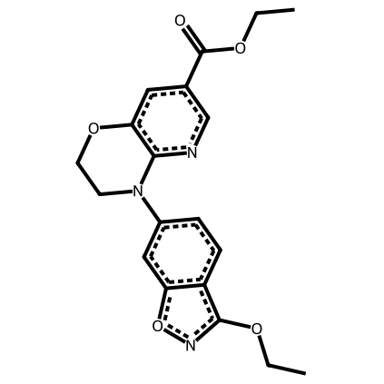 CCOC(=O)c1cnc2c(c1)OCCN2c1ccc2c(OCC)noc2c1